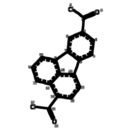 O=C(Cl)c1ccc2c(c1)-c1cccc3c(C(=O)Cl)ccc-2c13